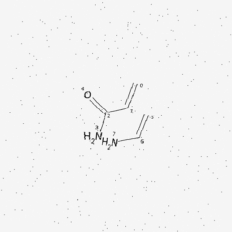 C=CC(N)=O.C=CN